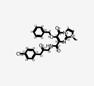 Cn1ccn2c(=O)c(OCc3ccccc3)c(C(=O)NCC(=O)Cc3ccc(Cl)cc3)nc12